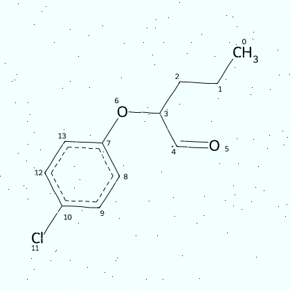 CCCC([C]=O)Oc1ccc(Cl)cc1